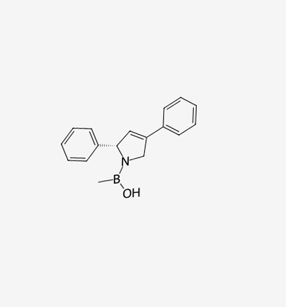 CB(O)N1CC(c2ccccc2)=C[C@H]1c1ccccc1